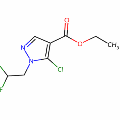 CCOC(=O)c1cnn(CC(F)F)c1Cl